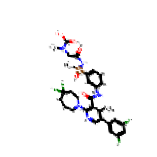 Cc1c(-c2cc(F)cc(F)c2)cnc(N2CCCC(F)(F)CC2)c1C(=O)Nc1cccc(S(C)(=O)=NC(=O)CN(C)C(=O)O)c1